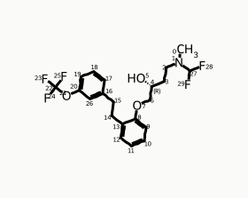 CN(CC[C@@H](O)COc1ccccc1CCc1cccc(OC(F)(F)F)c1)C(F)F